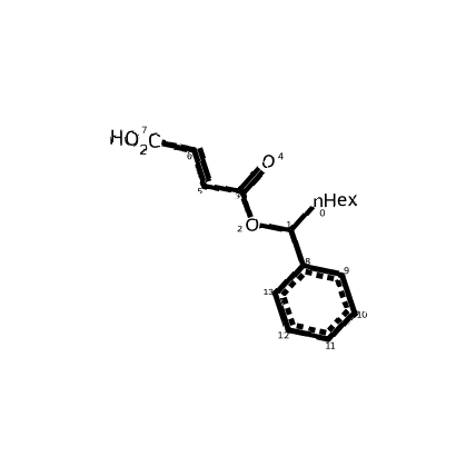 CCCCCCC(OC(=O)C=CC(=O)O)c1ccccc1